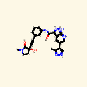 Cc1n[nH]cc1-c1cnc2[nH]nc(C(=O)Nc3cccc(C#C[C@]4(O)CCN(C)C4=O)c3)c2c1